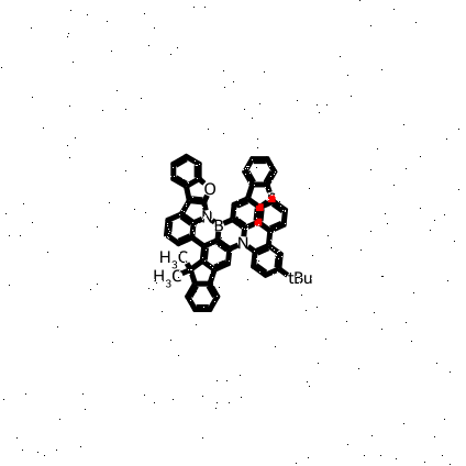 CC(C)(C)c1ccc(N2c3cc4sc5ccccc5c4cc3B3c4c2cc2c(c4-c4cccc5c6c7ccccc7oc6n3c45)C(C)(C)c3ccccc3-2)c(-c2ccccc2)c1